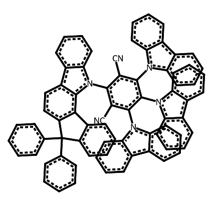 N#Cc1c(-n2c3ccccc3c3ccccc32)c(-n2c3ccccc3c3ccccc32)c(-n2c3ccccc3c3ccccc32)c(C#N)c1-n1c2ccccc2c2ccc3c(c21)-c1ccccc1C3(c1ccccc1)c1ccccc1